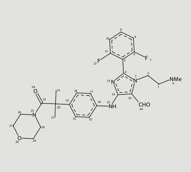 CNCCn1c(-c2c(F)cccc2F)nc(Nc2ccc(C(C)(C)C(=O)N3CCOCC3)cc2)c1C=O